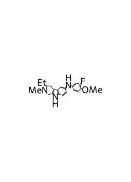 CCC(Cc1c(C)[nH]c2ccc(Nc3ccc(OC)c(F)c3)cc12)NC